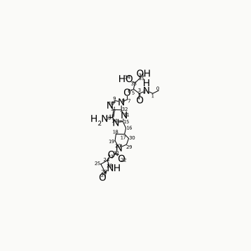 CCNC(=O)[C@@H](OCn1cnc2c(N)nc(CC3CCN(C(=O)OC4CC(=O)N4)CC3)nc21)C(O)CO